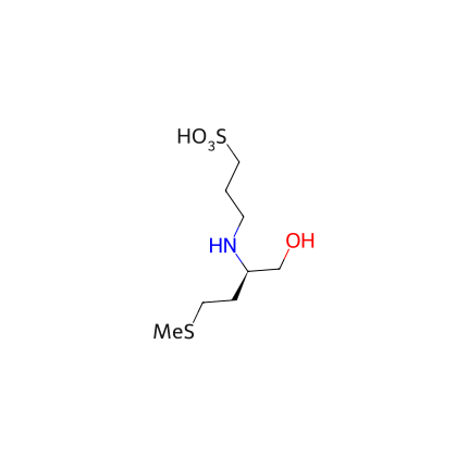 CSCC[C@H](CO)NCCCS(=O)(=O)O